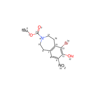 CC(C)(C)OC(=O)N1CCc2cc([N+](=O)[O-])c(O)c(Br)c2CC1